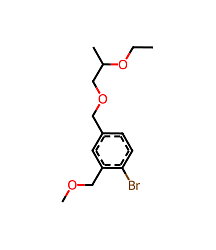 CCOC(C)COCc1ccc(Br)c(COC)c1